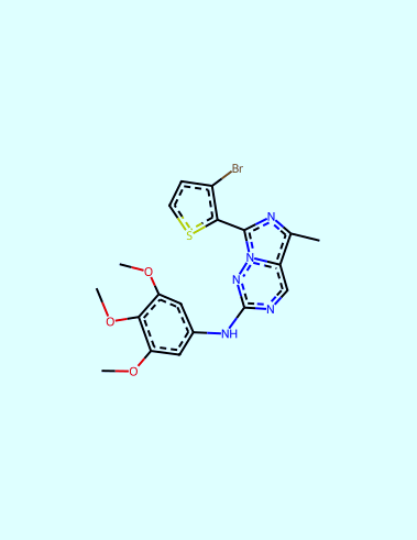 COc1cc(Nc2ncc3c(C)nc(-c4sccc4Br)n3n2)cc(OC)c1OC